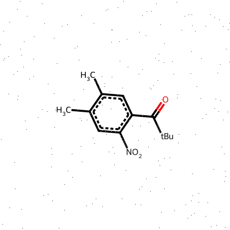 Cc1cc(C(=O)C(C)(C)C)c([N+](=O)[O-])cc1C